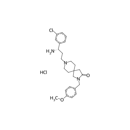 COc1ccc(CN2CC3(CCN(CC[C@H](N)c4cccc(Cl)c4)CC3)CC2=O)cc1.Cl